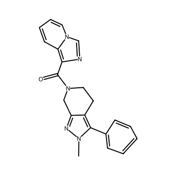 Cn1nc2c(c1-c1ccccc1)CCN(C(=O)c1ncn3ccccc13)C2